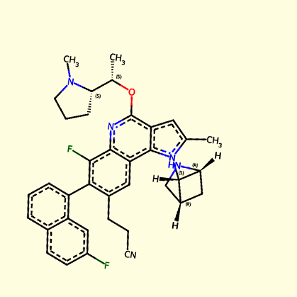 Cc1cc2c(O[C@@H](C)[C@@H]3CCCN3C)nc3c(F)c(-c4cccc5ccc(F)cc45)c(CCC#N)cc3c2n1[C@H]1[C@H]2CN[C@@H]1C2